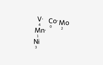 [Co].[Mn].[Mo].[Ni].[V]